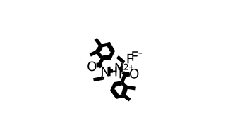 CC[N]([Hf+2][N](CC)C(=O)c1cccc(C)c1C)C(=O)c1cccc(C)c1C.[F-].[F-]